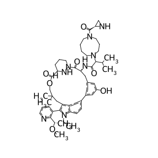 CCn1c(-c2cccnc2[C@H](C)OC)c2c3cc(ccc31)-c1cc(O)cc(c1)C[C@H](NC(=O)C(C(C)C)N1CCCCN(C(=O)[C@H]3CN3)CCC1)C(=O)N1CCC[C@H](N1)C(=O)OCC(C)(C)C2